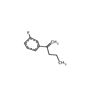 C=C(CCC)c1cccc(F)c1